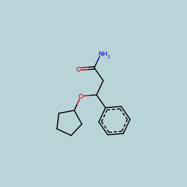 NC(=O)CC(OC1CCCC1)c1ccccc1